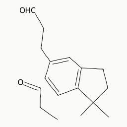 CC1(C)CCc2cc(CCC=O)ccc21.CCC=O